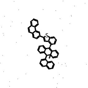 CC12C=CC=CC1=C(c1cccc3sc(-c4ccc5ccc6ccccc6c5c4)cc13)c1ccccc1C2c1cccc2ccccc12